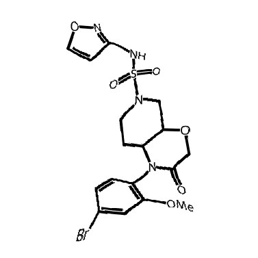 COc1cc(Br)ccc1N1C(=O)COC2CN(S(=O)(=O)Nc3ccon3)CCC21